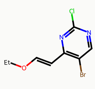 CCOC=Cc1nc(Cl)ncc1Br